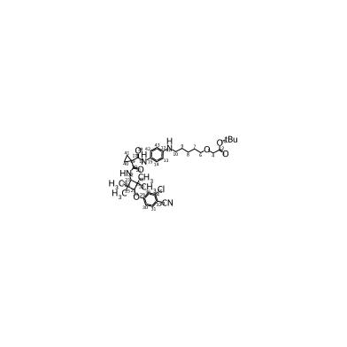 CC(C)(C)OC(=O)COCCCCCNc1ccc(NC(=O)C2(C(=O)NC3C(C)(C)C(Oc4ccc(C#N)c(Cl)c4)C3(C)C)CC2)cc1